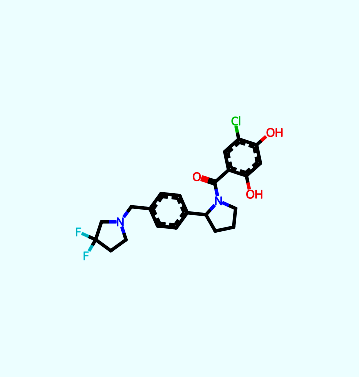 O=C(c1cc(Cl)c(O)cc1O)N1CCCC1c1ccc(CN2CCC(F)(F)C2)cc1